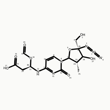 [N-]=[N+]=N[C@]1(CO)OC(n2ccc(N[C@@H](CC(=O)O)OC=O)nc2=O)[C@@H](F)C1O